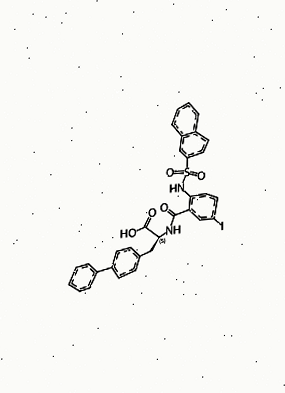 O=C(N[C@@H](Cc1ccc(-c2ccccc2)cc1)C(=O)O)c1cc(I)ccc1NS(=O)(=O)c1ccc2ccccc2c1